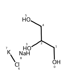 OCC(O)CO.[Cl][K].[NaH]